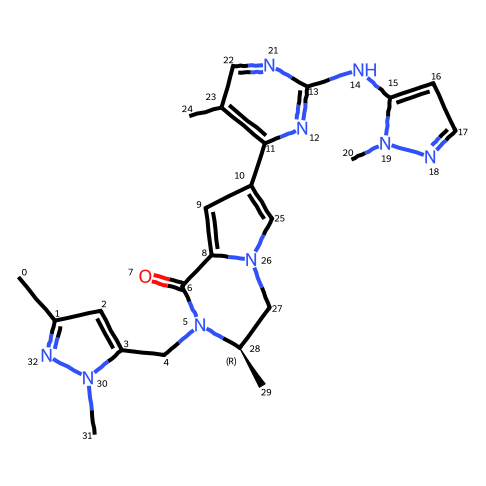 Cc1cc(CN2C(=O)c3cc(-c4nc(Nc5ccnn5C)ncc4C)cn3C[C@H]2C)n(C)n1